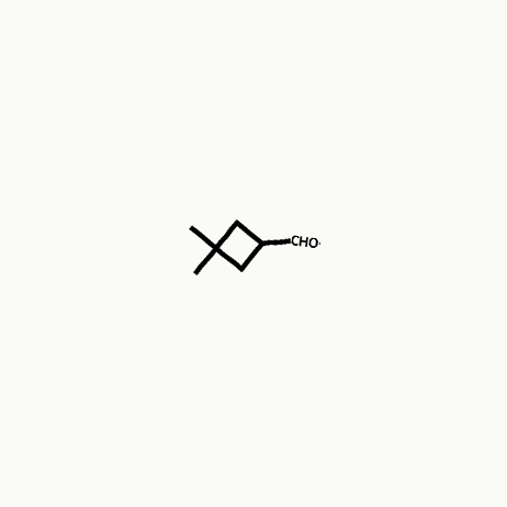 CC1(C)CC([C]=O)C1